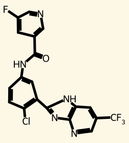 O=C(Nc1ccc(Cl)c(-c2nc3ncc(C(F)(F)F)cc3[nH]2)c1)c1cncc(F)c1